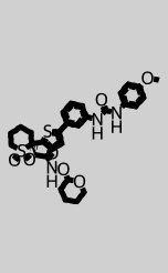 COc1ccc(NC(=O)Nc2cccc(-c3ccc([C@@]4(CC(=O)NOC5CCCCO5)CCCCS4(=O)=O)s3)c2)cc1